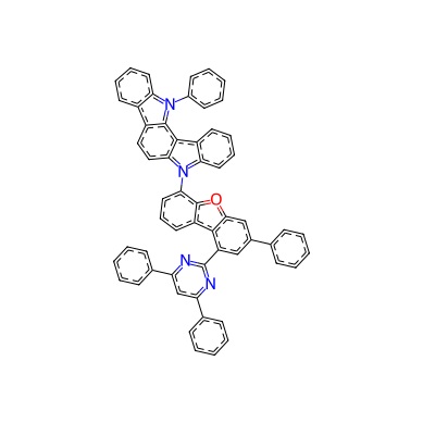 c1ccc(-c2cc(-c3nc(-c4ccccc4)cc(-c4ccccc4)n3)c3c(c2)oc2c(-n4c5ccccc5c5c4ccc4c6ccccc6n(-c6ccccc6)c45)cccc23)cc1